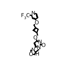 O=c1nc(OCC23CC(COc4ccnc(C(F)(F)F)c4)(C2)C3)cc2n1C[C@H]1COCN21